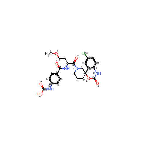 COCC[C@H](NC(=O)c1ccc(NC(=O)O)cc1)C(=O)N1CCC[C@@]2(C1)OC(=O)Nc1ccc(Cl)cc12